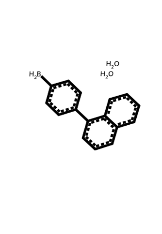 Bc1ccc(-c2cccc3ccccc23)cc1.O.O